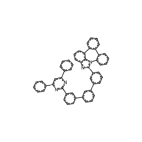 c1ccc(-c2cc(-c3ccccc3)nc(-c3cccc(-c4cccc(-c5cccc(-c6nc7cccc8c7n6-c6ccccc6-c6ccccc6-8)c5)c4)c3)n2)cc1